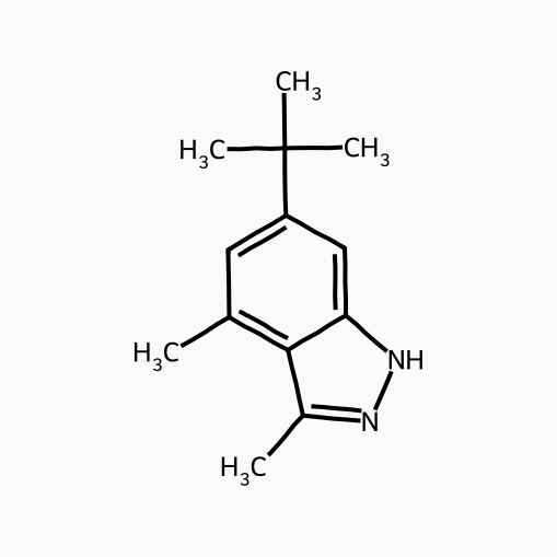 Cc1cc(C(C)(C)C)cc2[nH]nc(C)c12